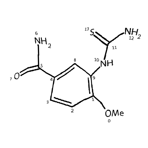 COc1ccc(C(N)=O)cc1NC(N)=S